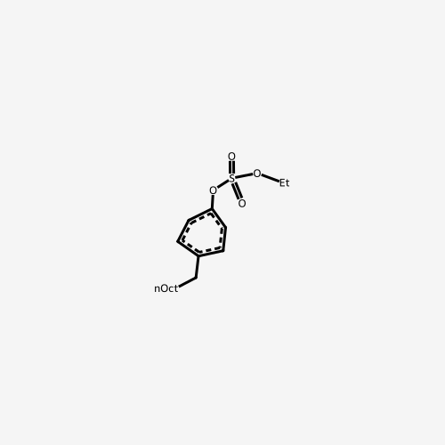 CCCCCCCCCc1ccc(OS(=O)(=O)OCC)cc1